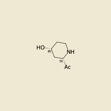 CC(=O)[C@@H]1C[C@H](O)CCN1